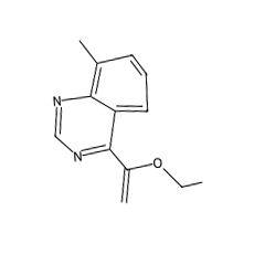 C=C(OCC)c1ncnc2c(C)cccc12